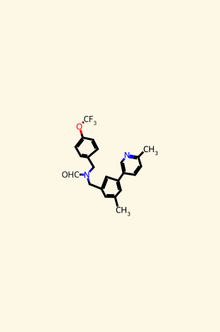 Cc1cc(CN(C=O)Cc2ccc(OC(F)(F)F)cc2)cc(-c2ccc(C)nc2)c1